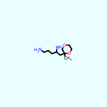 CC1(CC(N)CCCN)COCCO1